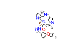 CCN(Cc1ccncc1)Cc1cccnc1-c1nc(C(F)(F)F)c(C(=O)NC(C)c2cccc(OC(F)(F)F)c2)s1